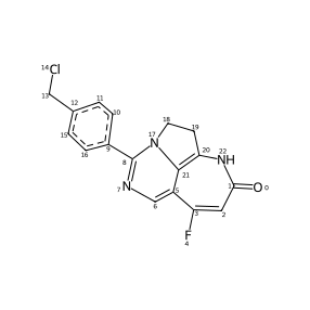 O=C1C=C(F)C2=CN=C(c3ccc(CCl)cc3)N3CCC(=C23)N1